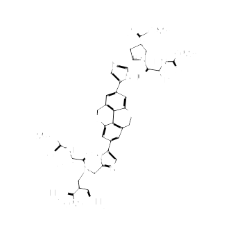 C=CC(CN(Cc1ncc(-c2cc3c4c(c2)OCc2cc(-c5cnc([C@@H]6C[C@H](C(=C)OC)CN6C(=O)[C@@H](NC(=O)OC)C(C)C)[nH]5)cc(c2-4)OC3)[nH]1)C(=O)[C@@H](NC(=O)OC)C(C)C)C(=C)OC